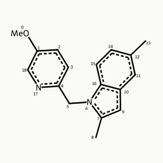 COc1ccc(Cn2c(C)cc3cc(C)ccc32)nc1